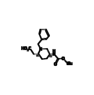 CC(C)(C)OC(=O)N[C@@H]1CC[C@H](CC(=O)O)N(Cc2ccccc2)C1